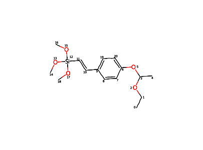 CCOC(C)Oc1ccc(C=C[Si](OC)(OC)OC)cc1